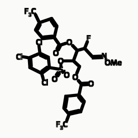 CON=CC(F)C(OC(=O)c1ccc(C(F)(F)F)cc1)C(COC(=O)c1ccc(C(F)(F)F)cc1)OS(=O)(=O)c1cc(Cl)c(Cl)cc1Cl